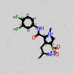 CC1Cc2c(cn(C)c2C(=O)Nc2ccc(F)c(F)c2)S(=O)(=O)N1